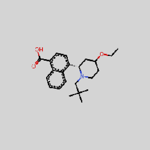 CCOC1CCN(CC(C)(C)C)[C@H](c2ccc(C(=O)O)c3ccccc23)C1